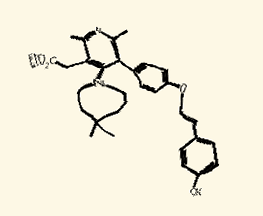 CCOC(=O)Cc1c(C)nc(C)c(-c2ccc(OCCc3ccc(C#N)cc3)cc2)c1N1CCC(C)(C)CC1